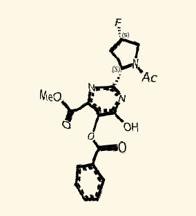 COC(=O)c1nc([C@@H]2C[C@H](F)CN2C(C)=O)nc(O)c1OC(=O)c1ccccc1